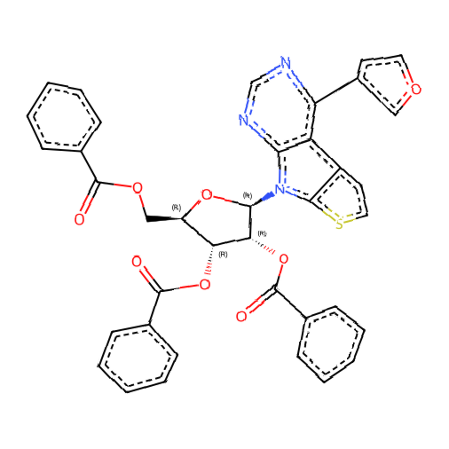 O=C(OC[C@H]1O[C@@H](n2c3ncnc(-c4ccoc4)c3c3ccsc32)[C@H](OC(=O)c2ccccc2)[C@@H]1OC(=O)c1ccccc1)c1ccccc1